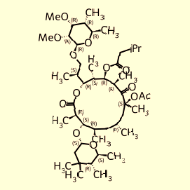 CO[C@@H]1[C@H](C)[C@@H](C)O[C@@H](OC[C@H](C)[C@H]2OC(=O)[C@H](C)[C@@H](O[C@H]3CC(C)(C)[C@@H](C)[C@H](C)O3)[C@H](C)C[C@@H](C)C[C@](C)(OC(C)=O)C(=O)[C@H](C)[C@H](OC(=O)CC(C)C)[C@H]2C)[C@@H]1OC